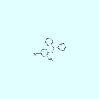 Nc1ccc(OC(c2ccccc2)c2ccccc2)c(N)c1